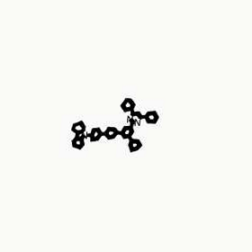 C1=Cc2c(c3ccccc3n2-c2ccc(-c3ccc(-c4cc(-c5ccccc5)cc(-c5nc(-c6ccccc6)cc(-c6ccccc6)n5)c4)cc3)cc2)CC1